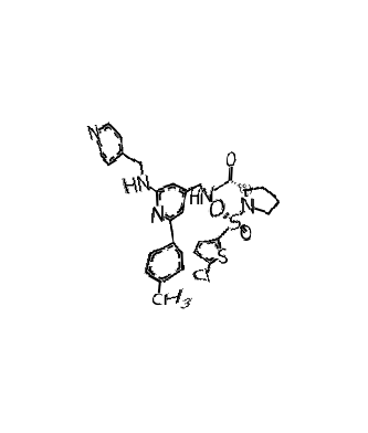 Cc1ccc(-c2cc(CNC(=O)[C@@H]3CCCN3S(=O)(=O)c3ccc(Cl)s3)cc(NCc3ccncc3)n2)cc1